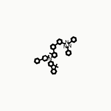 Cc1c(-c2cccc(-c3cccc(-c4nc(-c5ccccc5)nc(-c5ccccc5)n4)c3)c2)cccc1N(c1ccc2c(c1)C(C)(C)c1ccccc1-2)C1(C)C=CC(c2ccccc2)=CC1